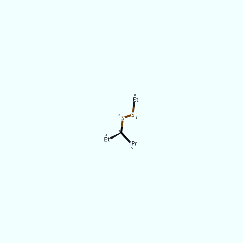 CCSS[C@H](CC)C(C)C